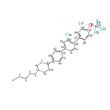 CCCCCC1CCC(c2ccc(-c3ccc(-c4ccc(OC(F)(F)F)c(F)c4)c(F)c3)cc2)CC1